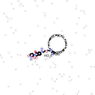 CC(C)(C)C1N(C(=O)O)CC12CCCCCCCCCCCCCCCCCCCCCCCCCCCCCN(CCOCCNc1ccc3c(c1)C(=O)N(C1CCC(=O)NC1=O)C3=O)C2